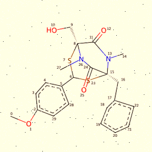 COc1ccc(C2S[C@@]3(CO)C(=O)N(C)[C@@](Cc4ccccc4)(S2)C(=O)N3C)cc1